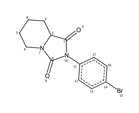 O=C1C2CCCCN2C(=O)N1c1ccc(Br)cc1